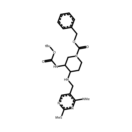 CNc1nc(SC)ncc1CNC1CCN(C(=O)OCc2ccccc2)CC1NC(=O)OC(C)(C)C